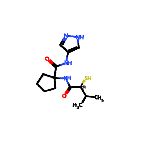 CC(C)[C@H](S)C(=O)NC1(C(=O)Nc2cn[nH]c2)CCCC1